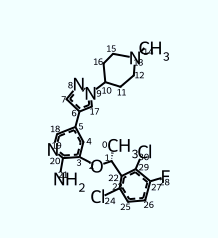 C[C@@H](Oc1cc(-c2cnn(C3CCN(C)CC3)c2)cnc1N)c1c(Cl)ccc(F)c1Cl